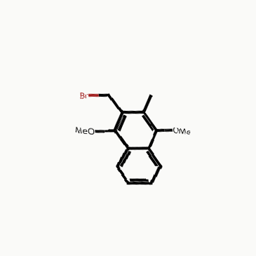 COc1c(C)c(CBr)c(OC)c2ccccc12